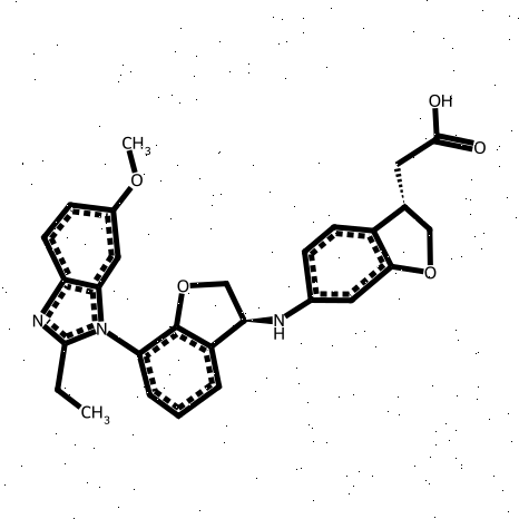 CCc1nc2ccc(OC)cc2n1-c1cccc2c1OC[C@H]2Nc1ccc2c(c1)OC[C@H]2CC(=O)O